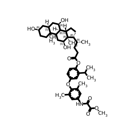 COC(=O)C(=O)Nc1cc(C)c(Oc2ccc(OC(=O)CC[C@@H](C)[C@H]3CC[C@H]4[C@@H]5[C@H](O)C[C@@H]6C[C@H](O)CC[C@]6(C)[C@H]5C[C@H](O)[C@]34C)c(C(C)C)c2)c(C)c1